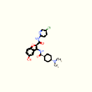 CN(C)[C@H]1CC[C@H](C(=O)Nc2c(C(=O)Nc3ccc(Cl)cn3)oc3ccc(O)cc23)CC1